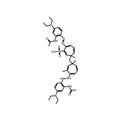 CCN(CC)c1ccc(/N=N/C2=CC=CC(C)(CC3(C)C=CC=C(PNc4ccc(N(CC)CC)cc4NC(C)=O)C(C)=C3)C=C2S(=O)(=O)O)c(NC(C)=O)c1